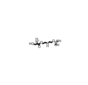 NC(CO)C(=O)OCCNCCON(O)O